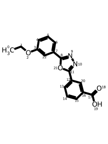 CCOc1cccc(-c2nnc(-c3cccc(C(=O)O)c3)o2)c1